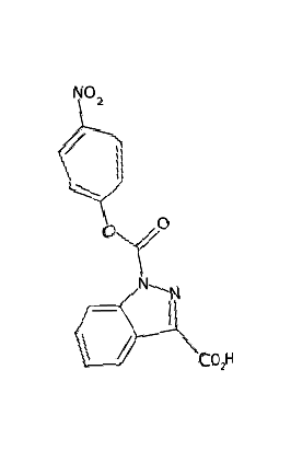 O=C(O)c1nn(C(=O)Oc2ccc([N+](=O)[O-])cc2)c2ccccc12